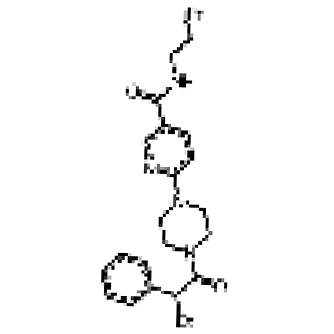 CCC(C(=O)N1CCN(c2ccc(C(=O)NCCC(C)C)cn2)CC1)c1ccccc1